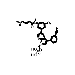 COc1cc(-c2cnc3c(c2)c(-c2ccnc(C#N)c2)cn3COP(=O)(O)O)cc(N(C)C(=O)/C=C/CN(C)C)c1